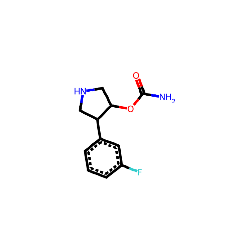 NC(=O)OC1CNCC1c1cccc(F)c1